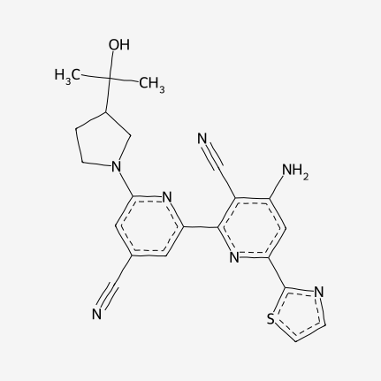 CC(C)(O)C1CCN(c2cc(C#N)cc(-c3nc(-c4nccs4)cc(N)c3C#N)n2)C1